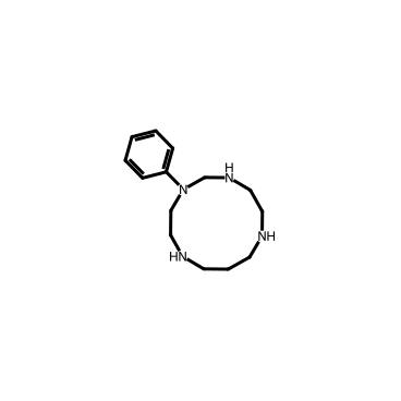 c1ccc(N2CCNCCCNCCNC2)cc1